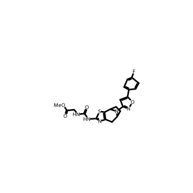 COC(=O)CNC(=O)Nc1nc2c(s1)C1CCC(C2)N1c1cc(-c2ccc(F)cc2)on1